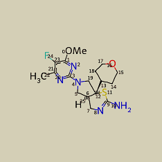 COc1nc(N2C[C@@H]3CN=C(N)S[C@@]3(C3CCOCC3)C2)nc(C)c1F